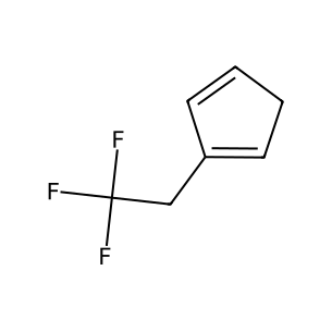 FC(F)(F)CC1=CCC=C1